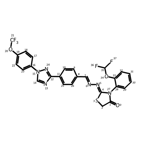 O=C1CS/C(=N\N=C\c2ccc(-c3ncn(-c4ccc(OC(F)(F)F)cc4)n3)cc2)N1c1ccccc1OC(F)F